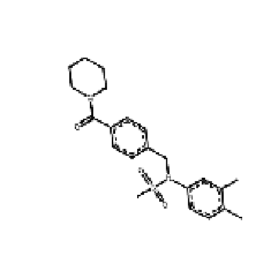 Cc1ccc(N(Cc2ccc(C(=O)N3CCCCC3)cc2)S(C)(=O)=O)cc1C